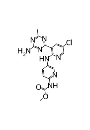 COC(=O)Nc1ccc(Nc2ncc(Cl)cc2-c2nc(C)nc(N)n2)cn1